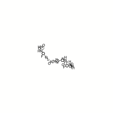 CCN(C)S(=O)(=O)Nc1ccc(F)c(C(=O)c2c[nH]c3ncc(-c4cnc(N5CCN(C(=O)[C@H]6C[C@@H](N7CC(c8ccc(NC9CCC(=O)NC9=O)cc8F)C7)C6)CC5)nc4)cc23)c1F